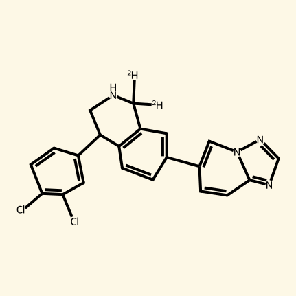 [2H]C1([2H])NCC(c2ccc(Cl)c(Cl)c2)c2ccc(-c3ccc4ncnn4c3)cc21